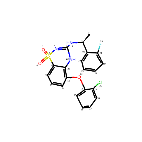 C[C@H](NC1=NS(=O)(=O)c2cccc(Oc3ccccc3Cl)c2N1)c1ccccc1F